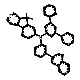 CC1(C)c2ccccc2-c2ccc(N(c3cccc(-c4ccc5ccccc5c4)c3)c3cc(-c4ccccc4)cc(-c4ccccc4)c3)cc21